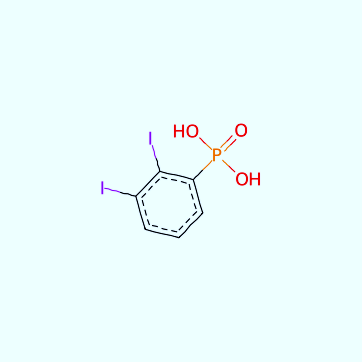 O=P(O)(O)c1cccc(I)c1I